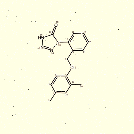 Cc1ccc(OCc2ccccc2-n2nn[nH]c2=O)c(C)c1